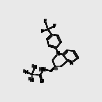 [2H]C([2H])([2H])C(=O)NC[C@@H]1Cc2ncccc2N(c2ccc(C(F)(F)F)cc2)C1